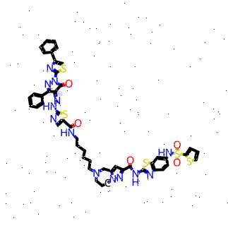 O=C(Nc1nc2ccc(NS(=O)(=O)c3cccs3)cc2s1)c1cc2n(n1)CCCN(CCCCCCNC(=O)c1cnc(N/N=C3/C(=O)N(c4nc(-c5ccccc5)cs4)N=C3c3ccccc3)s1)C2